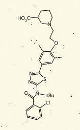 CCCCN(C(=O)c1ccccc1Cl)c1nnc(-c2cc(C)c(OCCN3CCCC(C(=O)O)C3)c(C)c2)s1